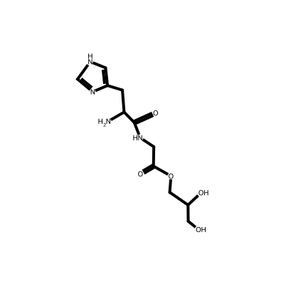 NC(Cc1c[nH]cn1)C(=O)NCC(=O)OCC(O)CO